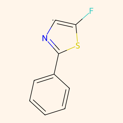 Fc1[c]nc(-c2ccccc2)s1